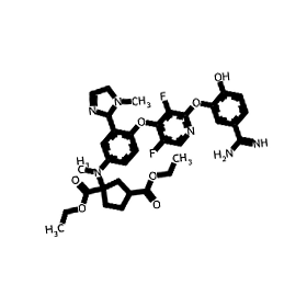 CCOC(=O)C1CCC(C(=O)OCC)(N(C)c2ccc(Oc3c(F)cnc(Oc4cc(C(=N)N)ccc4O)c3F)c(C3N=CCN3C)c2)C1